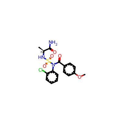 COc1ccc(C(=O)N(c2ccccc2Cl)S(=O)(=O)N[C@@H](C)C(N)=O)cc1